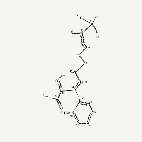 C=C(CC/C=C(\C)C(C)(F)F)/N=C(\C(=C/C)C(C)=O)c1ccccc1Cl